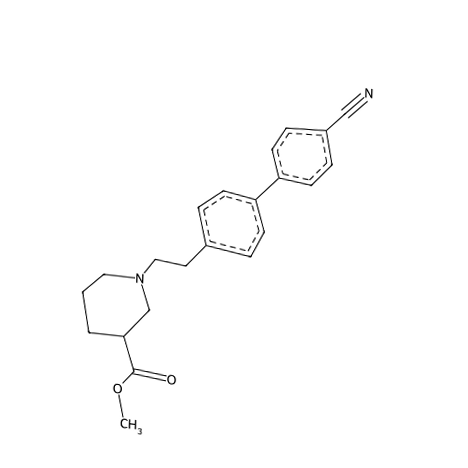 COC(=O)C1CCCN(CCc2ccc(-c3ccc(C#N)cc3)cc2)C1